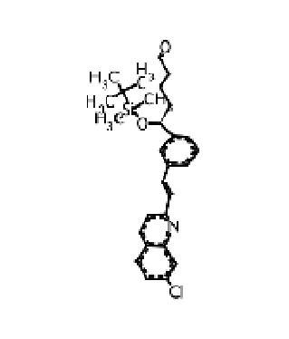 CC(C)(C)[Si](C)(C)O[C@@H](CCCC=O)c1cccc(/C=C/c2ccc3ccc(Cl)cc3n2)c1